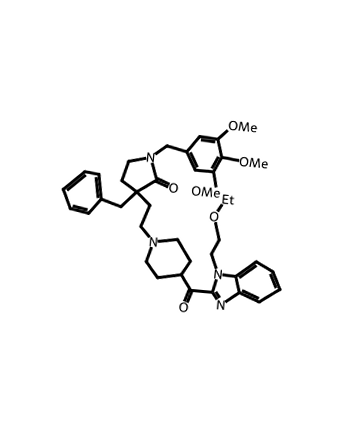 CCOCCn1c(C(=O)C2CCN(CCC3(Cc4ccccc4)CCN(Cc4cc(OC)c(OC)c(OC)c4)C3=O)CC2)nc2ccccc21